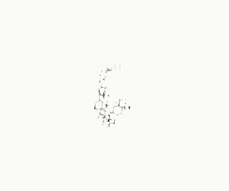 CN1C(N(c2ccc3c(c2)CCN3)S(C)(=O)=O)=NC=CC1n1cc(CN2CC(O)C2)cn1